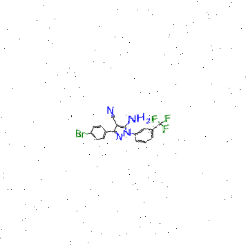 N#Cc1c(-c2ccc(Br)cc2)nn(-c2cccc(C(F)(F)F)c2)c1N